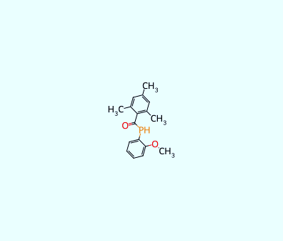 COc1ccccc1PC(=O)c1c(C)cc(C)cc1C